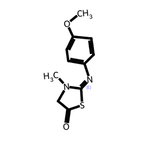 COc1ccc(/N=C2/SC(=O)CN2C)cc1